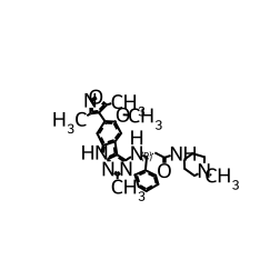 COc1cc2c(cc1-c1c(C)noc1C)[nH]c1nc(C)nc(N[C@H](CC(=O)NC3CCN(C)CC3)c3ccccc3)c12